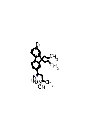 CCCC1(CCC)c2cc(Br)ccc2-c2ccc(/C(CC(C)NO)=N/O)cc21